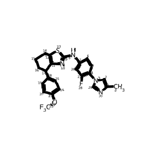 Cc1cn(-c2ccc(Nc3nc4c(s3)CCCC4c3ccc(OC(F)(F)F)cc3)cc2F)cn1